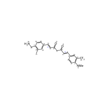 CNc1ccc(/C=C/C(=O)CC(=O)/C=C/c2ccc(CN)c(C)c2)cc1C(F)(F)F